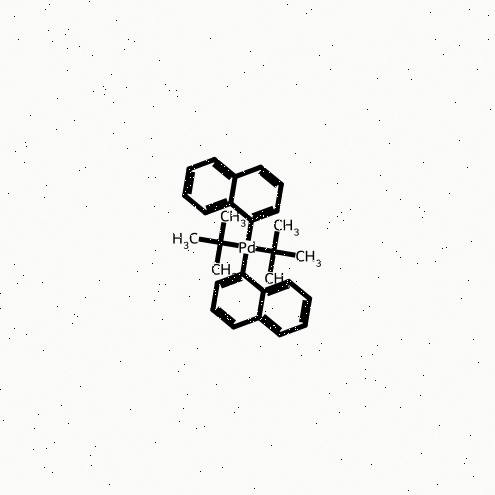 C[C](C)(C)[Pd]([c]1cccc2ccccc12)([c]1cccc2ccccc12)[C](C)(C)C